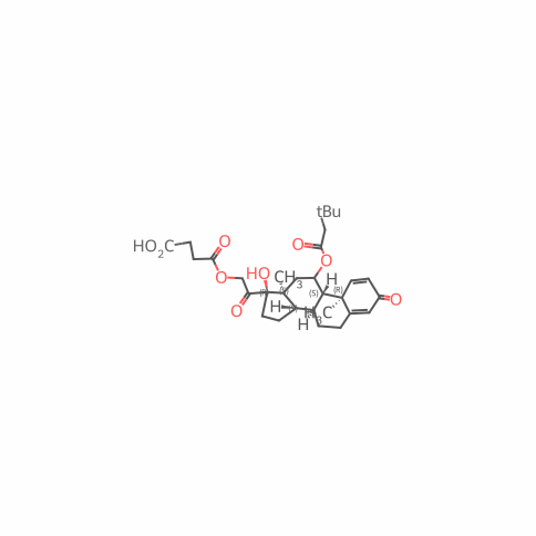 CC(C)(C)CC(=O)OC1C[C@@]2(C)[C@@H](CC[C@]2(O)C(=O)COC(=O)CCC(=O)O)[C@@H]2CCC3=CC(=O)C=C[C@]3(C)[C@@H]12